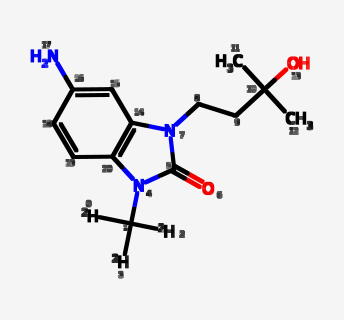 [2H]C([2H])([2H])n1c(=O)n(CCC(C)(C)O)c2cc(N)ccc21